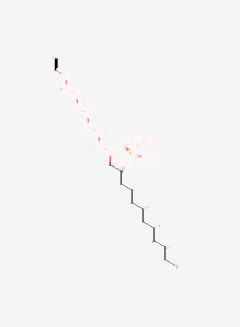 C=COOOOOOOOOCCCCCCCCCCCC(C)C.O=P(O)(O)O